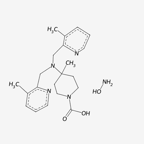 Cc1cccnc1CN(Cc1ncccc1C)C1(C)CCN(C(=O)O)CC1.NO